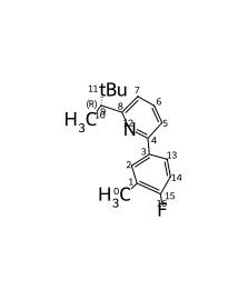 Cc1cc(-c2cccc([C@H](C)C(C)(C)C)n2)ccc1F